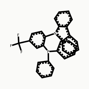 FC(F)(F)c1ccc(-n2c3ccccc3c3ccccc32)c(P(c2ccccc2)c2ccccc2)c1